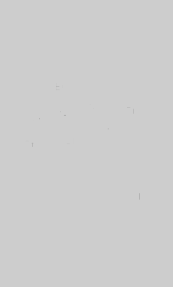 CCO[Si](CC)(CC)OC(C)(CC)CCC(F)(F)F